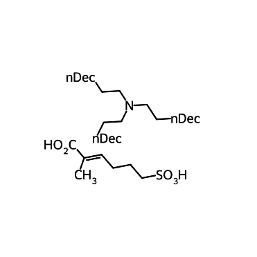 CC(=CCCCS(=O)(=O)O)C(=O)O.CCCCCCCCCCCCN(CCCCCCCCCCCC)CCCCCCCCCCCC